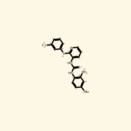 CC(C)(C)c1ccc(NC(=S)Nc2cccnc2Oc2cccc(C(F)(F)F)c2)c(N)c1